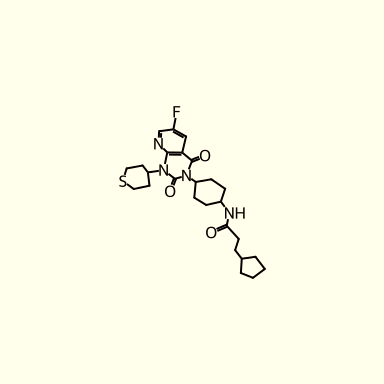 O=C(CCC1CCCC1)NC1CCC(n2c(=O)c3cc(F)cnc3n(C3CCSCC3)c2=O)CC1